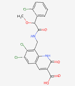 COC(C(=O)NCc1c(Cl)c(Cl)cc2cc(C(=O)O)c(=O)[nH]c12)c1ccccc1Cl